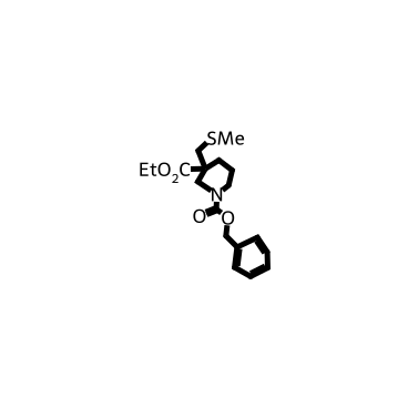 CCOC(=O)C1(CSC)CCCN(C(=O)OCc2ccccc2)C1